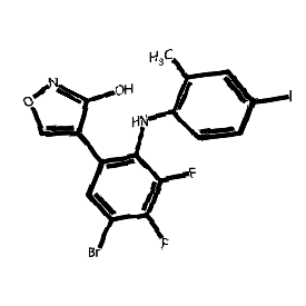 Cc1cc(I)ccc1Nc1c(-c2conc2O)cc(Br)c(F)c1F